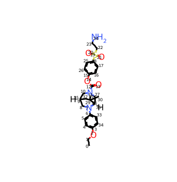 CCOc1ccc(N2C[C@H]3CN(C(=O)Oc4ccc(S(=O)(=O)CCN)cc4)C[C@@H]2C(C)(C)C3)cc1